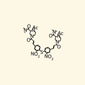 CC(=O)N1CCN(C(=O)C=Cc2ccc(Sc3ccc(C=CC(=O)N4CCN(C(C)=O)C(C(=O)N(C)C)C4)cc3[N+](=O)[O-])c([N+](=O)[O-])c2)CC1C(=O)N(C)C